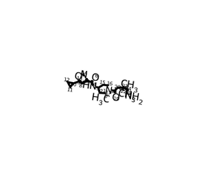 C[C@@H]1CC(NC(=O)c2cc(C3CC3)on2)CCN1C(=O)CC(C)(C)CN